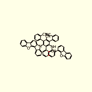 N#Cc1ccccc1-c1c(C#N)c(-c2ccccc2C#N)c(-n2c3ccccc3c3c4oc5ccccc5c4ccc32)c(-c2ccccc2C#N)c1Nc1ccccc1-c1cccc2c1oc1ccccc12